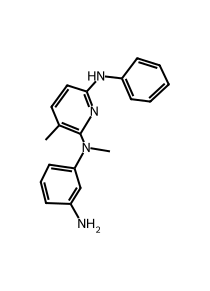 Cc1ccc(Nc2ccccc2)nc1N(C)c1cccc(N)c1